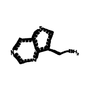 BCc1csc2cncnc12